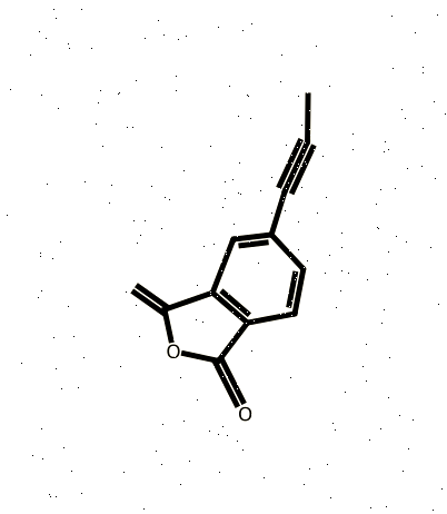 C=C1OC(=O)c2ccc(C#CC)cc21